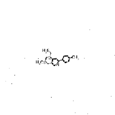 CC[C@@H]1C[C@H](C)Cc2cnc(-c3ccc(C)cc3)cc21